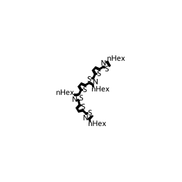 CCCCCCc1csc(-c2ccc(-c3nc(CCCCCC)c(-c4ccc(-c5sc(-c6ccc(-c7nc(CCCCCC)cs7)s6)nc5CCCCCC)s4)s3)s2)n1